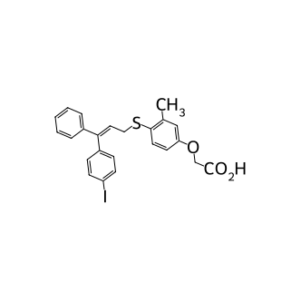 Cc1cc(OCC(=O)O)ccc1SC/C=C(/c1ccccc1)c1ccc(I)cc1